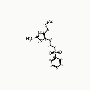 CC(=O)SCc1nc(C)sc1SCCS(=O)(=O)c1ccccc1